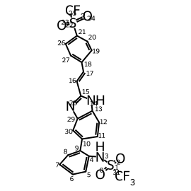 O=S(=O)(Nc1ccccc1-c1ccc2[nH]c(/C=C/c3ccc(S(=O)(=O)C(F)(F)F)cc3)nc2c1)C(F)(F)F